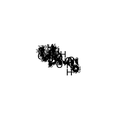 CN(C)C(=O)[C@@H](NC(=O)CNC(=O)C(=O)C(CC1CC1)NC(=O)[C@@H]1[C@@H]2[C@H](CN1C(=O)[C@@H](NC(=O)N(C)C(C)(C)C)C(C)(C)C)C2(C)C)c1ccccc1